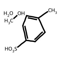 CO.Cc1ccc(S(=O)(=O)O)cc1.O